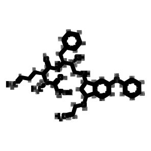 C=CCC[C@@H](C(=O)N[C@@H](Cc1ccccc1)[C@H](O)CNC1CC(OCC=C)c2ccc(Oc3ccccc3)cc21)N(C)C(=O)CCCCC